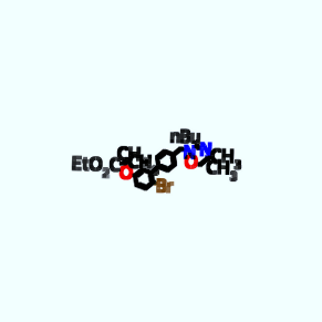 CCCCC1=NC(C)(C)CON1Cc1ccc(-c2cc(OC(C)(C)C(=O)OCC)ccc2Br)cc1